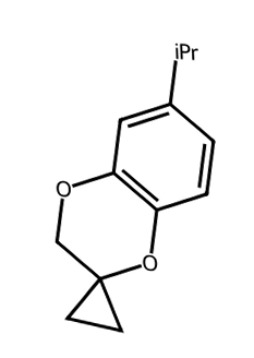 CC(C)c1ccc2c(c1)OCC1(CC1)O2